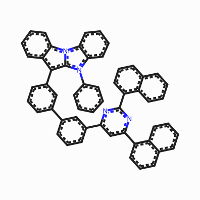 c1ccc(-n2c3ccccc3n3c4ccccc4c(-c4cccc(-c5cccc(-c6cc(-c7cccc8ccccc78)nc(-c7cccc8ccccc78)n6)c5)c4)c23)cc1